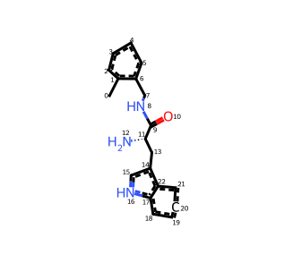 Cc1ccccc1CNC(=O)[C@@H](N)Cc1c[nH]c2ccccc12